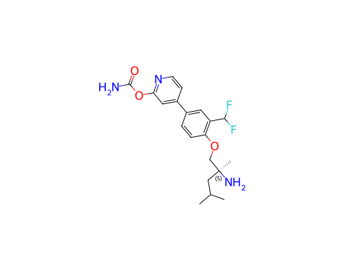 CC(C)C[C@](C)(N)COc1ccc(-c2ccnc(OC(N)=O)c2)cc1C(F)F